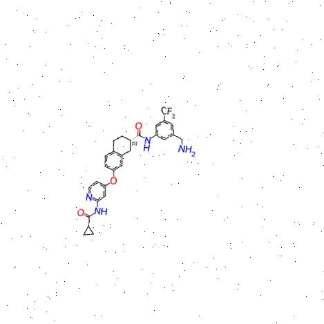 NCc1cc(NC(=O)[C@H]2CCc3ccc(Oc4ccnc(NC(=O)C5CC5)c4)cc3C2)cc(C(F)(F)F)c1